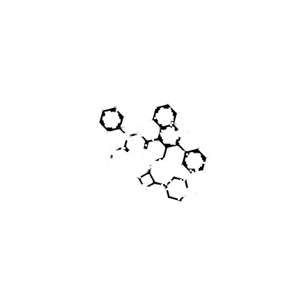 COC(=O)N(NC(=O)c1c(COC2CNC2C2CCOCC2)c(-c2ccccc2)nc2ccccc12)c1ccccc1